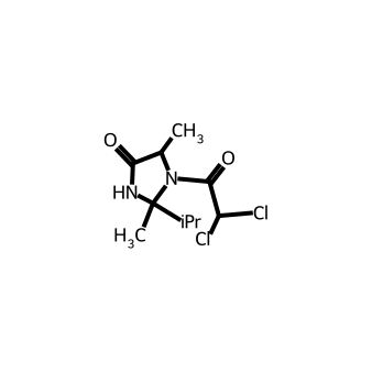 CC1C(=O)NC(C)(C(C)C)N1C(=O)C(Cl)Cl